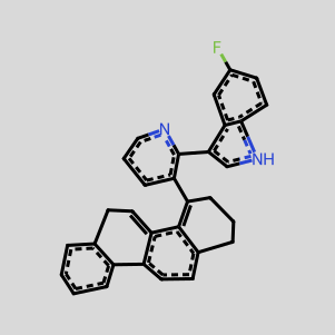 Fc1ccc2[nH]cc(-c3ncccc3C3=c4c(ccc5c4=CCc4ccccc4-5)CCC3)c2c1